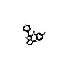 O=C1CCCc2[nH]c(-c3ccncc3)c(Nc3cccc(F)c3)c21